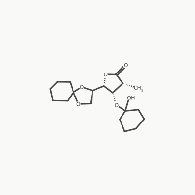 C[C@H]1C(=O)O[C@@H]([C@H]2COC3(CCCCC3)O2)[C@H]1OC1(O)CCCCC1